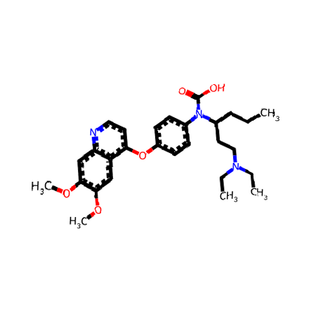 CCCC(CCN(CC)CC)N(C(=O)O)c1ccc(Oc2ccnc3cc(OC)c(OC)cc23)cc1